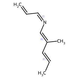 C=C\C=N/C=C(C)/C=C/C